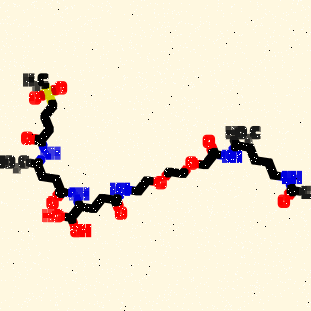 CCC(=O)NCCCCC(NC(=O)COCCOCCNC(=O)CCC(NC(=O)CCC(NC(=O)CCCS(C)(=O)=O)C(=O)O)C(O)O)C(=O)O